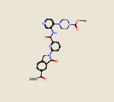 COC(=O)c1ccc2c(c1)C(=O)N(c1cccc(C(=O)Nc3cnccc3N3CCN(C(=O)OC(C)(C)C)CC3)n1)C2